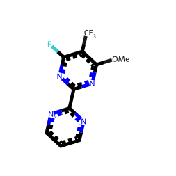 COc1nc(-c2ncccn2)nc(F)c1C(F)(F)F